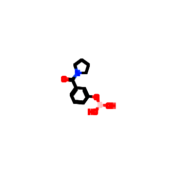 O=C(c1cccc(OB(O)O)c1)N1CCCC1